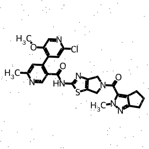 COc1cnc(Cl)cc1-c1cc(C)ncc1C(=O)Nc1nc2c(s1)CN(C(=O)c1c3c(nn1C)CCC3)C2